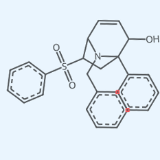 O=S(=O)(c1ccccc1)C1CC2(c3ccccc3)C(O)C=CC1N2Cc1ccccc1